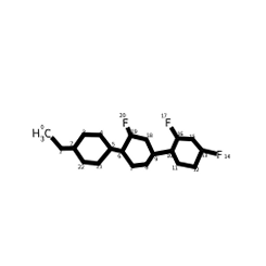 CCC1CCC(C2CCC(C3CCC(F)CC3F)CC2F)CC1